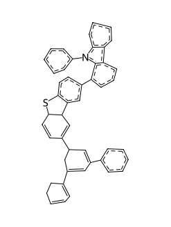 C1=CCCC(C2=CC(c3ccccc3)=CC(C3=CC4c5cc(-c6cccc7c8ccccc8n(-c8ccccc8)c67)ccc5SC4C=C3)C2)=C1